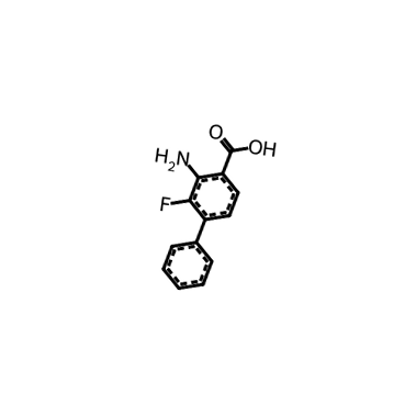 Nc1c(C(=O)O)ccc(-c2ccccc2)c1F